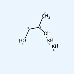 CC(O)CO.[KH].[KH]